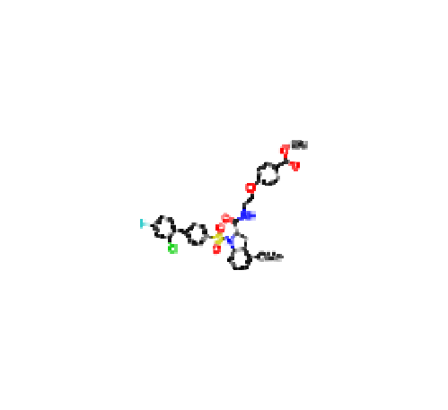 COc1cccc2c1CC(C(=O)NCCOc1ccc(C(=O)OC(C)(C)C)cc1)N2S(=O)(=O)c1ccc(-c2ccc(F)cc2Cl)cc1